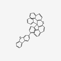 c1ccc(C2(c3ccc(-c4ccc5c(c4)sc4ccccc45)cc3)c3c(ccc4ccccc34)Sc3ccc4ccccc4c32)cc1